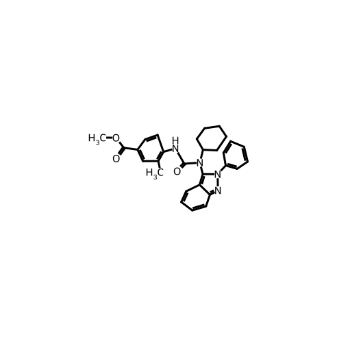 COC(=O)c1ccc(NC(=O)N(c2c3ccccc3nn2-c2ccccc2)C2CCCCC2)c(C)c1